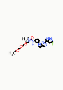 CCOCCOCCOCCN(C)C(=O)N[C@H]1CCC[C@@H](n2ccc3cnc(-c4c[nH]c5ncc(F)cc45)nc32)C1